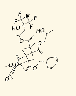 C=C(OC)C(C)(C)C(C)(C(=C)OCc1ccccc1)C(C)(C(=C)OCC1CO1)C(C)(C(=C)OCC(C)O)C(C)(C)C(=C)OC(C)CC(O)(C(F)(F)F)C(F)(F)F